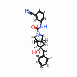 N#Cc1cccc(NC(=O)N2C[C@@H]3C[C@](O)(Cc4ccccc4)C[C@@H]3C2)c1